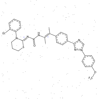 CCc1ccccc1N1CCCS/C1=N\C(=O)N/C(C)=C(\C)c1ccc(-c2ncn(-c3ccc(OC(F)(F)F)cc3)n2)cc1